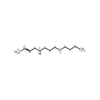 CCCCOCCCNC/C=N/C